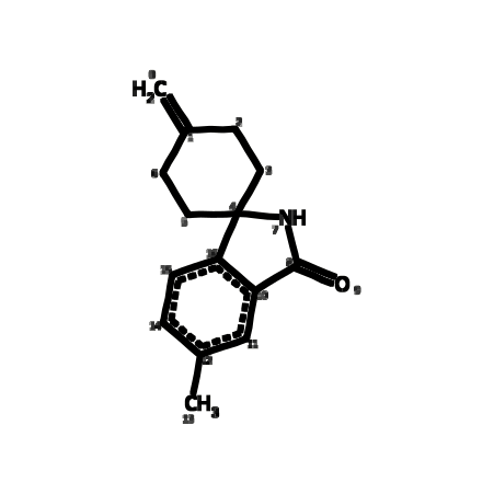 C=C1CCC2(CC1)NC(=O)c1cc(C)ccc12